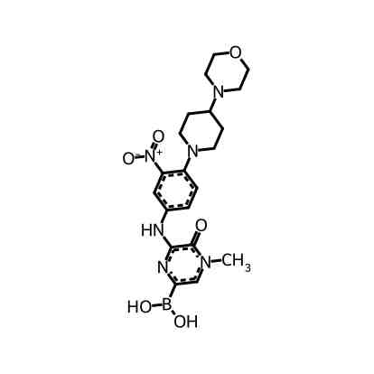 Cn1cc(B(O)O)nc(Nc2ccc(N3CCC(N4CCOCC4)CC3)c([N+](=O)[O-])c2)c1=O